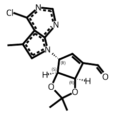 Cc1cn([C@@H]2C=C(C=O)[C@H]3OC(C)(C)O[C@H]32)c2ncnc(Cl)c12